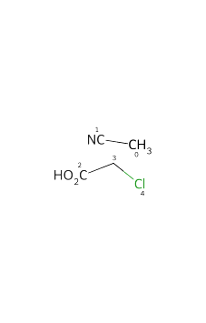 CC#N.O=C(O)CCl